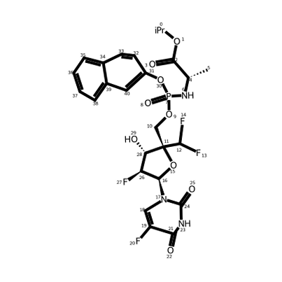 CC(C)OC(=O)[C@H](C)NP(=O)(OC[C@@]1(C(F)F)O[C@@H](n2cc(F)c(=O)[nH]c2=O)[C@@H](F)[C@@H]1O)Oc1ccc2ccccc2c1